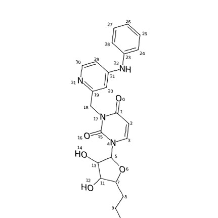 O=c1ccn(C2OC(CCO)C(O)C2O)c(=O)n1Cc1cc(Nc2ccccc2)ccn1